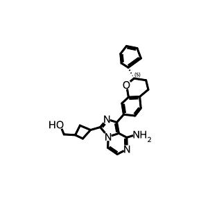 Nc1nccn2c(C3CC(CO)C3)nc(-c3ccc4c(c3)O[C@H](c3ccccc3)CC4)c12